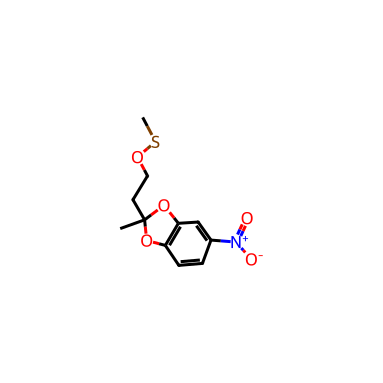 CSOCCC1(C)Oc2ccc([N+](=O)[O-])cc2O1